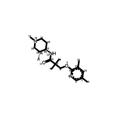 Cc1cnc(OCC(C)(C)C(=O)N[C@@H]2CCN(C)C[C@H]2C)c(C)c1